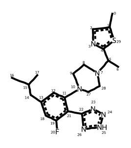 Cc1cnc(C(C)N2CCN(c3cc(CC(C)C)cc(F)c3-c3nn[nH]n3)CC2)s1